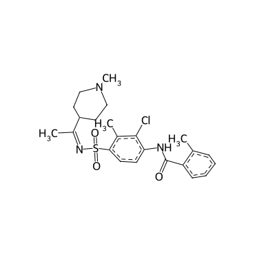 C/C(=N/S(=O)(=O)c1ccc(NC(=O)c2ccccc2C)c(Cl)c1C)C1CCN(C)CC1